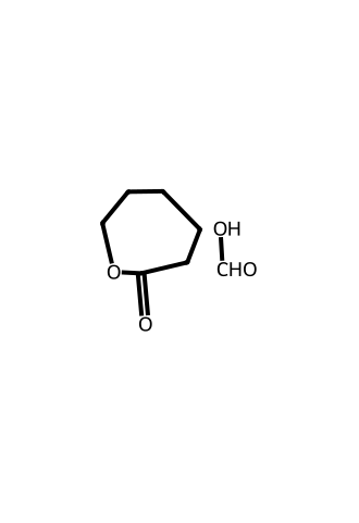 O=C1CCCCCO1.O=CO